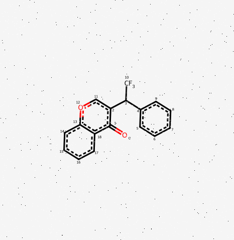 O=c1c(C(c2ccccc2)C(F)(F)F)coc2ccccc12